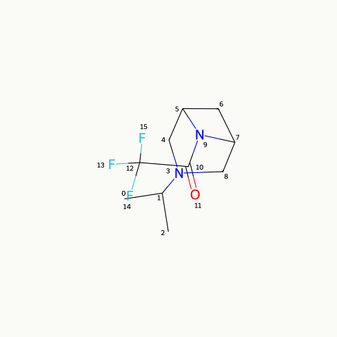 CC(C)N1CC2CC(C1)N2C(=O)C(F)(F)F